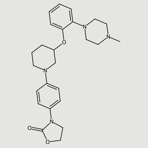 CN1CCN(c2ccccc2OC2CCCN(c3ccc(N4CCOC4=O)cc3)C2)CC1